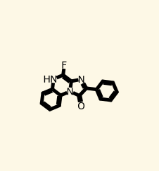 O=c1c(-c2ccccc2)nc2c(F)[nH]c3ccccc3n1-2